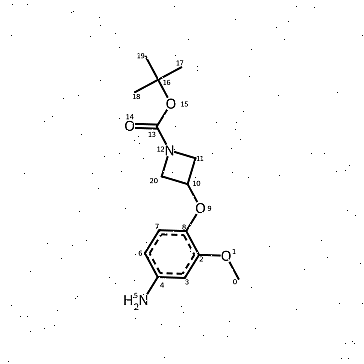 COc1cc(N)ccc1OC1CN(C(=O)OC(C)(C)C)C1